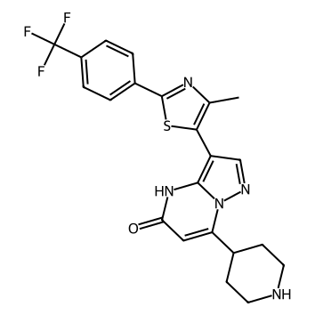 Cc1nc(-c2ccc(C(F)(F)F)cc2)sc1-c1cnn2c(C3CCNCC3)cc(=O)[nH]c12